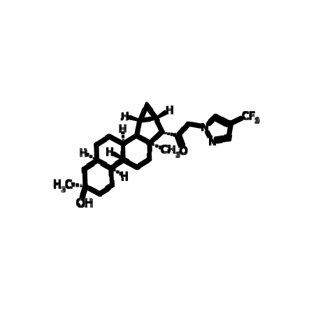 C[C@@]1(O)CC[C@H]2[C@H](CC[C@H]3C4[C@@H]5C[C@@H]5[C@H](C(=O)Cn5cc(C(F)(F)F)cn5)[C@@]4(C)CC[C@H]23)C1